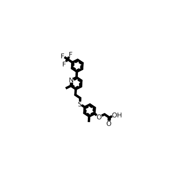 Cc1cc(SCCc2ccc(-c3cccc(C(F)(F)F)c3)nc2C)ccc1OCC(=O)O